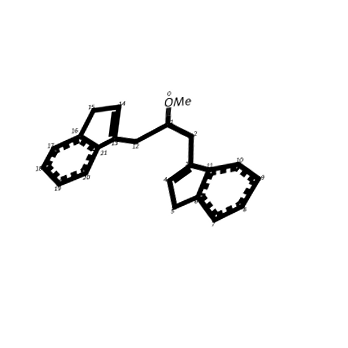 COC(CC1=CCc2ccccc21)CC1=CCc2ccccc21